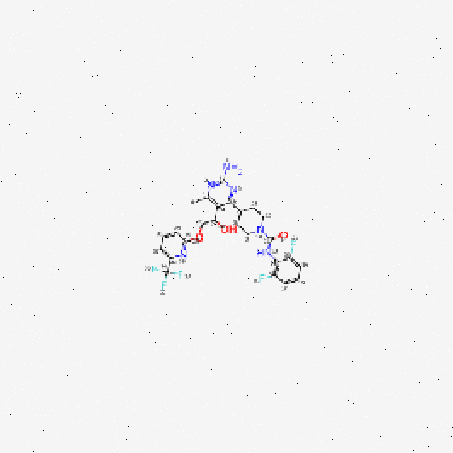 Cc1nc(N)nc(C2CCN(C(=O)Nc3c(F)cccc3F)CC2)c1C(O)COc1cccc(C(F)(F)F)n1